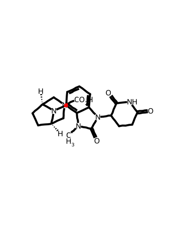 Cn1c(=O)n(C2CCC(=O)NC2=O)c2cccc(N3[C@@H]4CC[C@H]3CN(C(=O)O)C4)c21